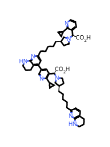 O=C(O)[C@H](c1cccnc1C1CC1)N1CC[C@@H](CCCCCc2cc(-c3cnc(C4CC4)c([C@H](C(=O)O)N4CC[C@@H](CCCCCc5ccc6c(n5)NCCC6)C4)c3)c3c(n2)NCCC3)C1